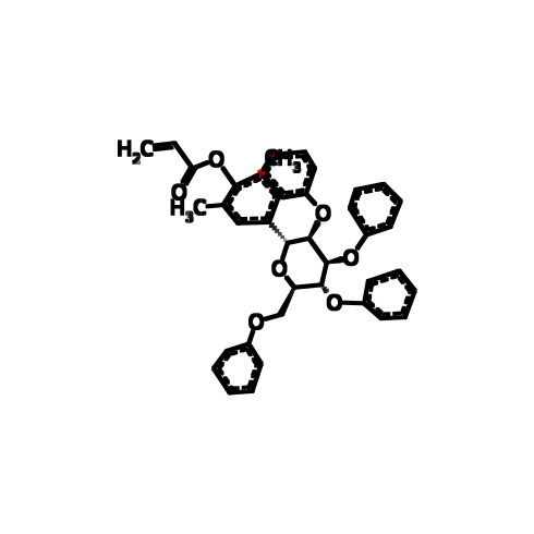 C=CC(=O)Oc1c(C)cc([C@H]2O[C@H](COc3ccccc3)[C@@H](Oc3ccccc3)[C@H](Oc3ccccc3)[C@@H]2Oc2ccccc2)cc1C